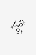 CC1(C)CCC(C)(C)c2cc(N(c3cc(Cl)cc([Si](C)(C)C)c3)c3ccc4c(c3)C(C)(C)CCC4(C)C)ccc21